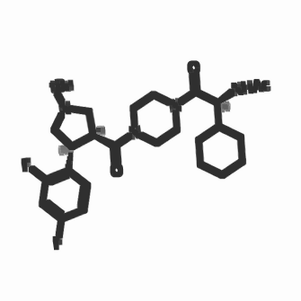 CC(=O)N[C@H](C(=O)N1CCN(C(=O)[C@@H]2CN(C(C)(C)C)C[C@H]2c2ccc(F)cc2F)CC1)C1CCCCC1